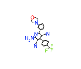 N#Cc1c(N)nc(-c2cccc(N3CCOCC3)c2)c(C#N)c1-c1ccc(C(F)(F)F)cc1